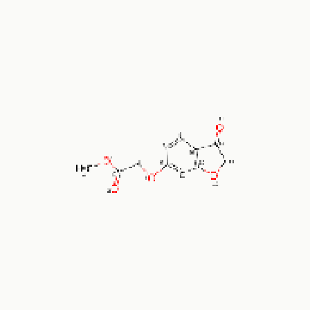 COC(=O)COc1ccc2c(c1)OCC2=O